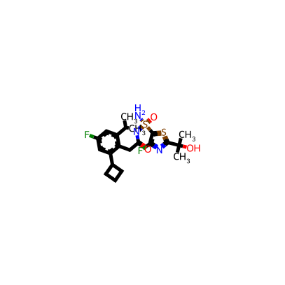 CC(C)c1cc(F)cc(C2CCC2)c1CC(=O)N=S(N)(=O)c1sc(C(C)(C)O)nc1F